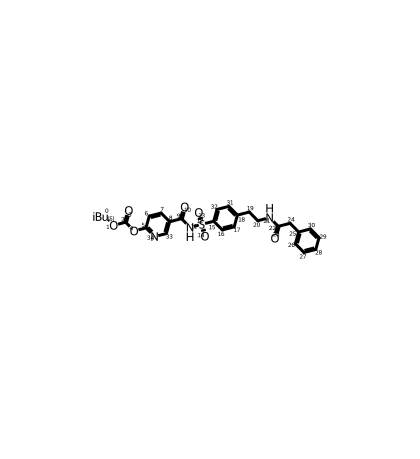 CC[C@H](C)OC(=O)Oc1ccc(C(=O)NS(=O)(=O)c2ccc(CCNC(=O)Cc3ccccc3)cc2)cn1